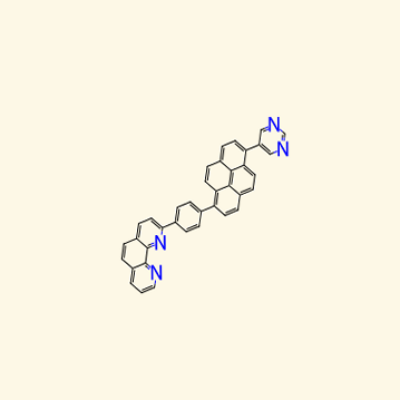 c1cnc2c(c1)ccc1ccc(-c3ccc(-c4ccc5ccc6c(-c7cncnc7)ccc7ccc4c5c76)cc3)nc12